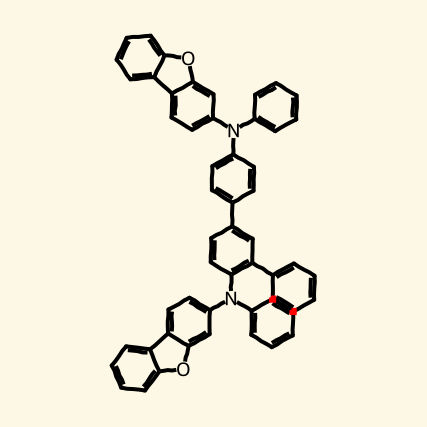 c1ccc(-c2cc(-c3ccc(N(c4ccccc4)c4ccc5c(c4)oc4ccccc45)cc3)ccc2N(c2ccccc2)c2ccc3c(c2)oc2ccccc23)cc1